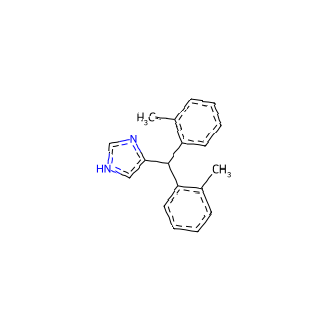 Cc1ccccc1C(c1c[nH]cn1)c1ccccc1C